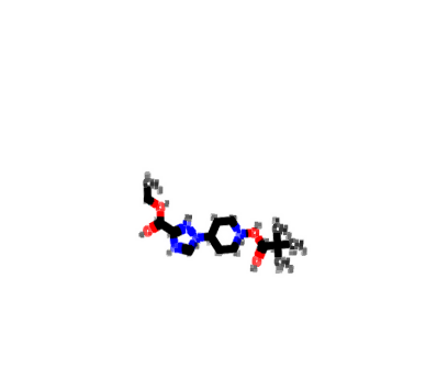 CCOC(=O)c1ncn(C2CCN(OC(=O)C(C)(C)C)CC2)n1